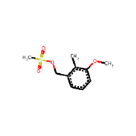 COc1cccc(COS(C)(=O)=O)c1C